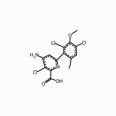 COc1c(Cl)cc(F)c(-c2cc(N)c(Cl)c(C(=O)O)n2)c1Cl